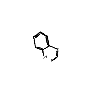 Sc1ccccc1/N=C\I